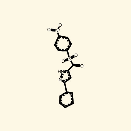 O=C(c1cc(-c2ccccc2)n[nH]1)S(=O)(=O)c1ccc([N+](=O)[O-])cc1